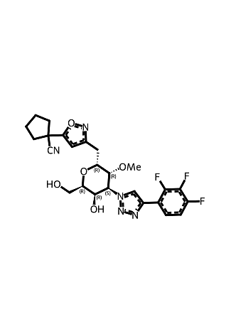 CO[C@@H]1[C@@H](n2cc(-c3ccc(F)c(F)c3F)nn2)[C@@H](O)[C@@H](CO)O[C@@H]1Cc1cc(C2(C#N)CCCC2)on1